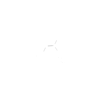 CCON(S(=O)(=O)O)S(=O)(=O)O.Cl.[NaH].[NaH]